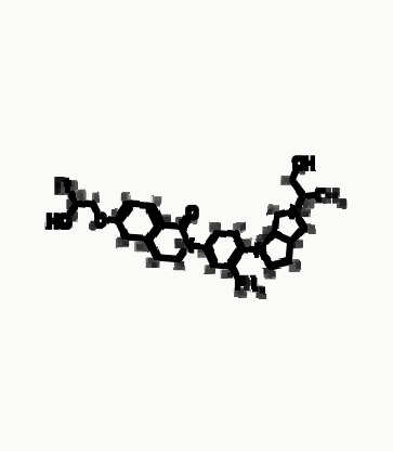 CC[C@H](O)COC1=CC=C2C(=O)N(C3=CC(P)=C(N4CCC5CN(C(C)CO)CC54)CC3)CCC2C1